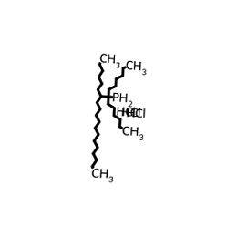 CCCCCCCCCCCCC(CCCCCC)C(P)(CCCCCC)CCCCCC.Cl.Cl.Cl